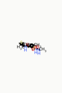 CNC(=O)NS(=O)(=O)c1cc(CC(=O)NC(C)(C)c2ccsc2)ccc1C